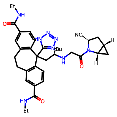 CCNC(=O)c1ccc2c(c1)CCc1cc(C(=O)NCC)ccc1C2(C[C@@H](NCC(=O)N1[C@H](C#N)C[C@@H]2C[C@@H]21)C(C)(C)C)c1nnn[nH]1